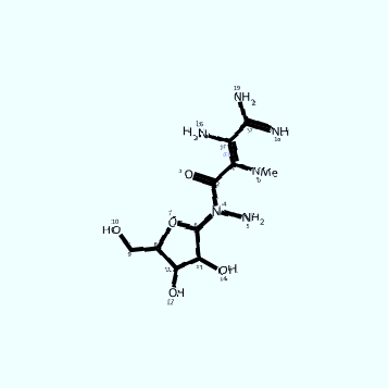 CN/C(C(=O)N(N)C1OC(CO)C(O)C1O)=C(/N)C(=N)N